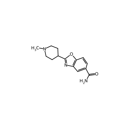 CN1CCC(c2nc3cc(C(N)=O)ccc3o2)CC1